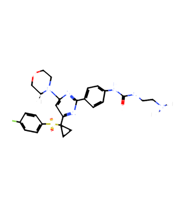 C[C@H]1COCCN1c1cc(C2(S(=O)(=O)c3ccc(F)cc3)CC2)nc(-c2ccc(NC(=O)NCCN(C)C)cc2)n1